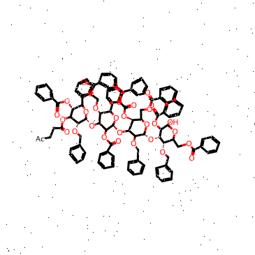 CC(=O)CCC(=O)OC1[C@@H](OC(=O)c2ccccc2)C(COC(=O)c2ccccc2)O[C@H](OC2C(OC(=O)c3ccccc3)[C@H](OC3C(OCc4ccccc4)[C@@H](O[C@@H]4C(OC(=O)c5ccccc5)[C@H](O)OC(COC(=O)c5ccccc5)[C@@H]4OCc4ccccc4)OC(COC(=O)c4ccccc4)[C@@H]3OC(=O)c3ccccc3)OC(COC(=O)c3ccccc3)[C@@H]2OCc2ccccc2)[C@@H]1OCc1ccccc1